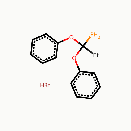 Br.CCC(P)(Oc1ccccc1)Oc1ccccc1